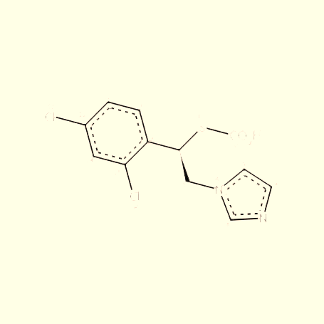 O=C(O)S[C@@H](Cn1ccnc1)c1ccc(Cl)cc1Cl